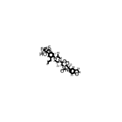 CC=Cc1cc(C(O)(C(F)(F)F)C(F)(F)F)ccc1N1C[C@@H](C)N(C(=O)CN2C(=O)N[C@@](C)(c3ccc4c(c3)CCO4)C2=O)CC1C